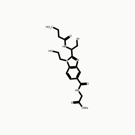 COC(=O)CNC(=O)c1ccc2c(c1)nc(C(CC(C)C)NC(=O)CCC(=O)O)n2CCO